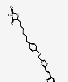 O=C1NC(=O)C(CCCCCCc2ccc(OCc3coc(/C=C/c4ccccc4)n3)cc2)O1